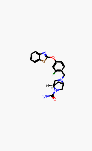 NC(=O)N1CC2C[C@H]1CN2Cc1ccc(Oc2nc3ccccc3s2)cc1F